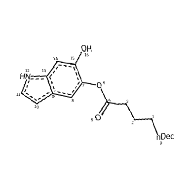 CCCCCCCCCCCCCC(=O)Oc1cc2cc[nH]c2cc1O